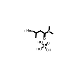 CCCCCCC(C)CC(=O)N(C)C.O=P(O)(O)O